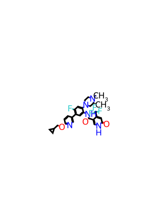 C[C@H]1CN(c2cc(F)c(-c3ccc(OCC4CC4)nc3)cc2NC(=O)c2c[nH]c(=O)cc2C(F)(F)F)CCN1C